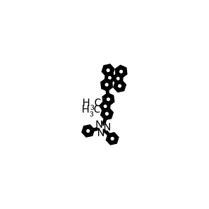 CC1(C)c2cc(-c3ccc4c(c3)C3(c5ccccc5-c5ccccc53)c3ccccc3-4)ccc2-c2ccc(-c3nc(-c4ccccc4)nc(-c4ccccc4)n3)cc21